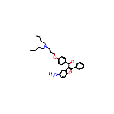 CCCCN(CCCC)CCCOc1ccc(C(=O)c2c(-c3ccccc3)oc3ccc(N)cc23)cc1